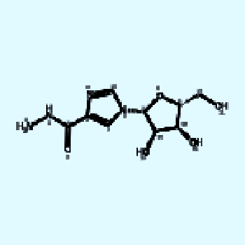 NNC(=O)c1cn([C@@H]2O[C@H](CO)[C@@H](O)[C@H]2O)cn1